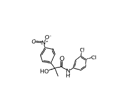 CC(O)(C(=O)Nc1ccc(Cl)c(Cl)c1)c1ccc([N+](=O)[O-])cc1